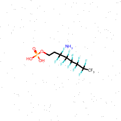 N.O=P(O)(O)OCCC(F)(F)C(F)(F)C(F)(F)C(F)(F)C(F)(F)C(F)(F)F